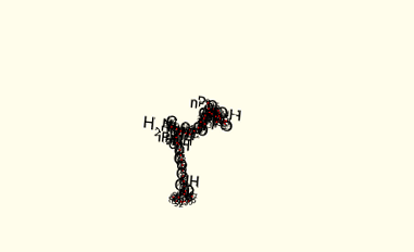 CCCC1O[C@@H]2C[C@H]3[C@@H]4C[C@H](F)C5=CC(=O)C=C[C@]5(C)[C@@]4(F)[C@@H](O)C[C@]3(C)[C@]2(C(=O)COC(=O)N2CCN(C(=O)OCc3ccc(NC(=O)[C@H](CCCNC(N)=O)NC(=O)[C@@H](NC(=O)CCOCCOCCOCCOCCNC(=O)CCC(=O)N4Cc5ccccc5/C(C)=C\c5ccccc54)C(C)C)cc3)CC2)O1